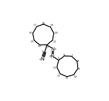 N#CC1(N=NC2CCCCCCCC2)CCCCCCCC1